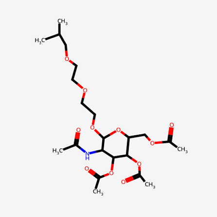 CC(=O)NC1C(OCCOCCOCC(C)C)OC(COC(C)=O)C(OC(C)=O)C1OC(C)=O